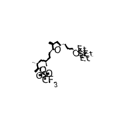 C=C(OS(=O)(=O)C(F)(F)F)[C@H](C)C[C@H](C)CC[C@@H]1O[C@@H](CCCO[Si](CC)(CC)CC)CC1=C